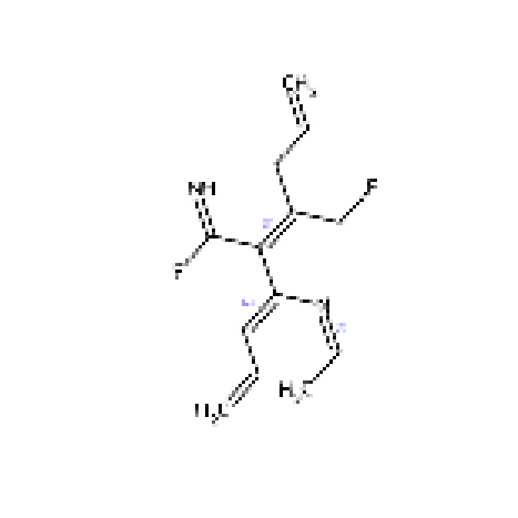 C=C/C=C(\N=C/C)C(/C(=N)F)=C(\CF)CC=C